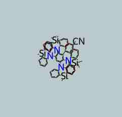 C[Si]1(C)c2ccccc2N(c2cc(N3c4ccccc4[Si](C)(C)c4ccccc43)c(N3c4ccccc4[Si](C)(C)c4ccccc43)c(-c3ccc(C#N)cc3)c2N2c3ccccc3[Si](C)(C)c3ccccc32)c2ccccc21